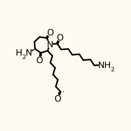 NCCCCCCCC(=O)N1C(=O)CC[C@H](N)C(=O)C1CCCCCC[C]=O